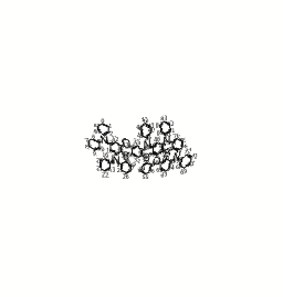 c1ccc(N(c2ccccc2)c2cc3c4c(c2)N(c2ccccc2)c2ccccc2B4c2cc4c(cc2O3)N(c2ccccc2)c2cc3c(c5c2B4c2ccccc2O5)B2c4ccccc4N(c4ccccc4)c4cccc(c42)N3c2ccccc2)cc1